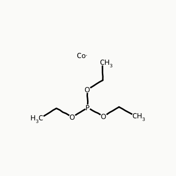 CCOP(OCC)OCC.[Co]